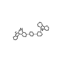 c1cc(-c2ccc(-c3ccc4c(c3)ncc3sc5ccccc5c34)cc2)cc(-n2c3ccccc3c3ccccc32)c1